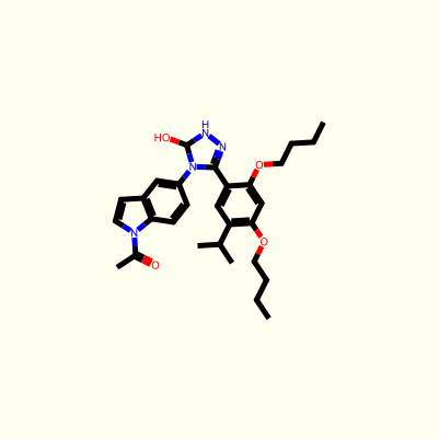 CCCCOc1cc(OCCCC)c(C(C)C)cc1C1=NNC(O)N1c1ccc2c(ccn2C(C)=O)c1